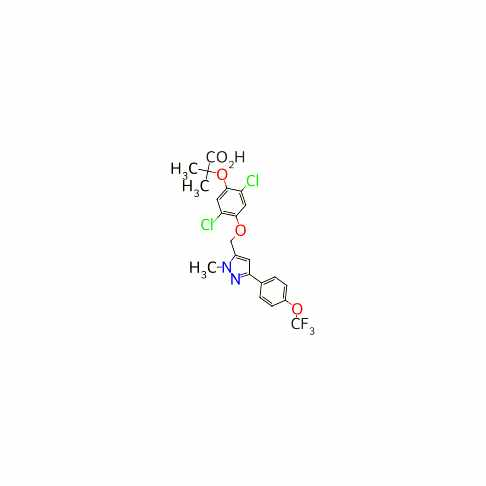 Cn1nc(-c2ccc(OC(F)(F)F)cc2)cc1COc1cc(Cl)c(OC(C)(C)C(=O)O)cc1Cl